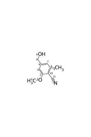 COc1cc(CO)cc(C)c1C#N